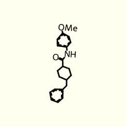 COc1ccc(NC(=O)C2CCC(Cc3ccccc3)CC2)cc1